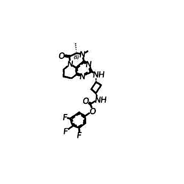 C[C@H]1C(=O)N2CCCc3nc(N[C@H]4C[C@H](NC(=O)Oc5cc(F)c(F)c(F)c5)C4)nc(c32)N1C